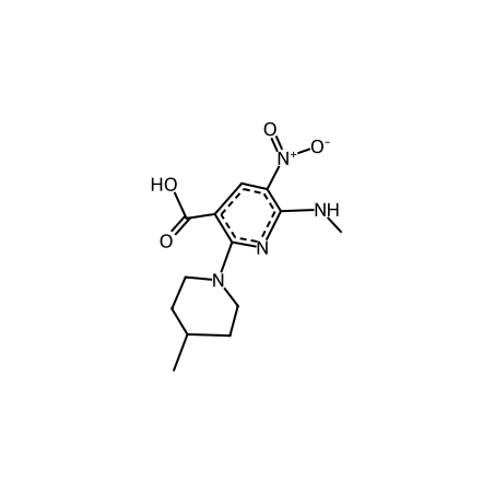 CNc1nc(N2CCC(C)CC2)c(C(=O)O)cc1[N+](=O)[O-]